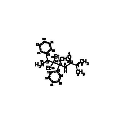 C=C(C)C(=O)NC(C)(c1ccccc1)C(CC)(CC)C(N)c1ccccc1